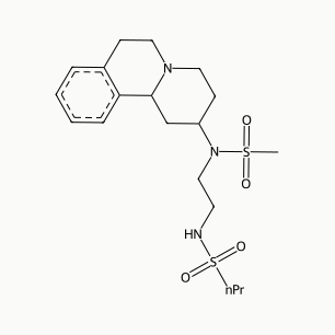 CCCS(=O)(=O)NCCN(C1CCN2CCc3ccccc3C2C1)S(C)(=O)=O